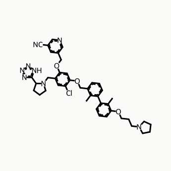 Cc1c(COc2cc(OCc3cncc(C#N)c3)c(CN3CCCC3c3nnn[nH]3)cc2Cl)cccc1-c1cccc(OCCCN2CCCC2)c1C